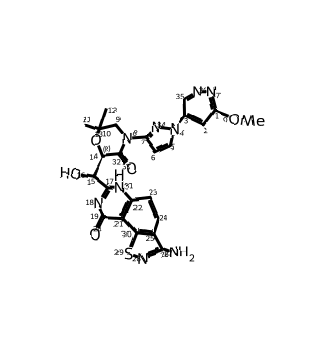 COc1cc(-n2ccc(N3CC(C)(C)O[C@H](C(O)c4nc(=O)c5c(ccc6c(N)nsc65)[nH]4)C3=O)n2)cnn1